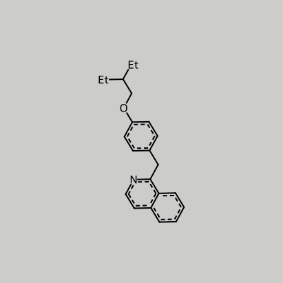 CCC(CC)COc1ccc(Cc2nccc3ccccc23)cc1